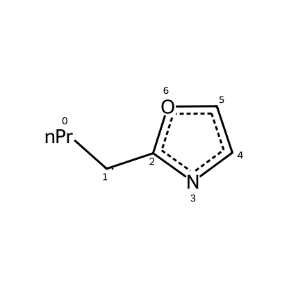 CCC[CH]c1ncco1